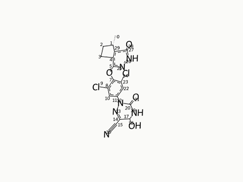 C[C@H]1CCc2c(Oc3c(Cl)cc(N4N=C(C#N)C(O)NC4=O)cc3Cl)n[nH]c(=O)c21